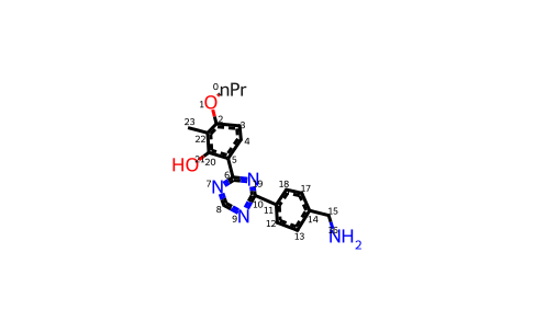 CCCOc1ccc(-c2ncnc(-c3ccc(CN)cc3)n2)c(O)c1C